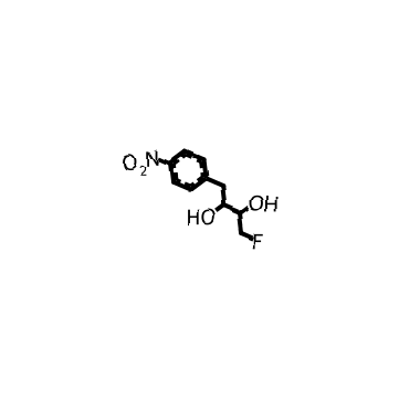 O=[N+]([O-])c1ccc(CC(O)C(O)CF)cc1